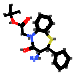 CC(C)(C)OC(=O)CN1C(=O)[C@@H](N)[C@H](c2ccccc2)Sc2ccccc21